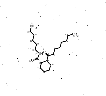 CCCCCCCC(=O)N1CCCC[C@@H]1C(=O)NCCCCCN